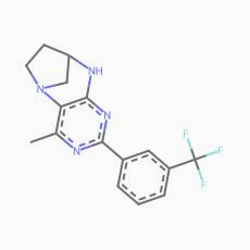 Cc1nc(-c2cccc(C(F)(F)F)c2)nc2c1N1CCC(C1)N2